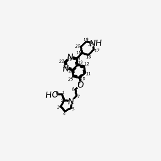 OCC1CCCN1CCOc1ccc2c(C3CCNCC3)ncnc2c1